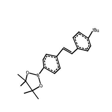 CC(C)(C)c1ccc(/C=C/c2ccc(B3OC(C)(C)C(C)(C)O3)cc2)cc1